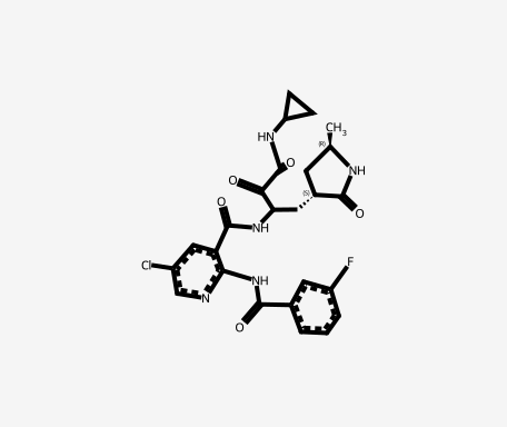 C[C@@H]1C[C@@H](CC(NC(=O)c2cc(Cl)cnc2NC(=O)c2cccc(F)c2)C(=O)C(=O)NC2CC2)C(=O)N1